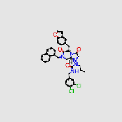 CCCN(C(=O)NCc1ccc(Cl)c(Cl)c1)N1CC(=O)N2[C@@H](Cc3ccc4occc4c3)C(=O)N(Cc3cccc4ccccc34)C[C@@H]21